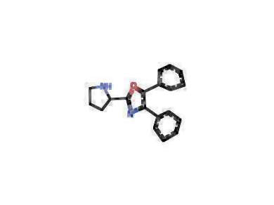 c1ccc(-c2nc(C3CCCN3)oc2-c2ccccc2)cc1